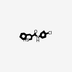 O=C(Nc1ccc(Cl)cc1)C(CS)Cc1ccccc1